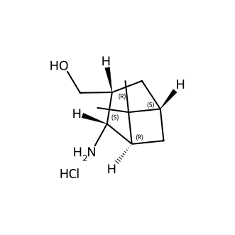 CC1(C)[C@@H]2C[C@@H](CO)[C@@H](N)[C@@H]1C2.Cl